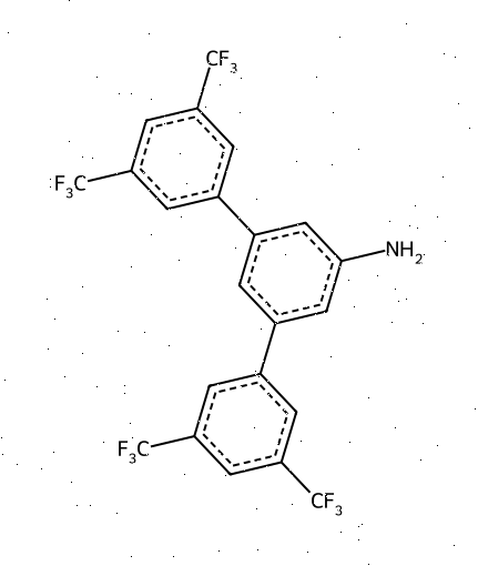 Nc1cc(-c2cc(C(F)(F)F)cc(C(F)(F)F)c2)cc(-c2cc(C(F)(F)F)cc(C(F)(F)F)c2)c1